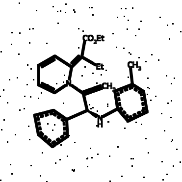 C=C([C@@H](Nc1cccc(C)c1)c1ccccc1)N1C=CC=C/C1=C(/CC)C(=O)OCC